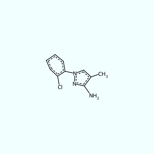 Cc1cn(-c2ccccc2Cl)nc1N